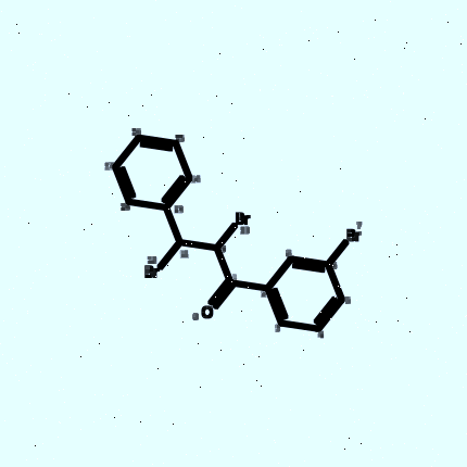 O=C(c1cccc(Br)c1)C(Br)C(Br)c1ccccc1